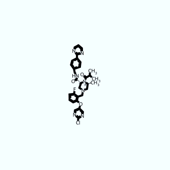 CC(C)C(=O)N1[C@H](C)CN(Cc2c(F)cccc2Oc2cnc(Cl)nc2)C[C@@H]1C(=O)NCc1ccc(-c2ncccn2)cc1